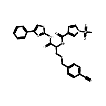 CS(=O)(=O)n1ccc(C(=O)NC(COCc2ccc(C#N)cc2)C(=O)Nc2nc(-c3ccccc3)cs2)c1